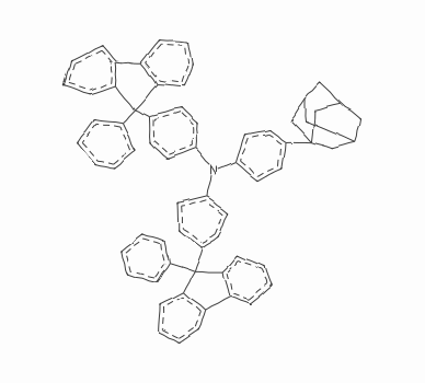 c1ccc(C2(c3ccc(N(c4ccc(C56CC7CC(CC(C7)C5)C6)cc4)c4ccc(C5(c6ccccc6)c6ccccc6-c6ccccc65)cc4)cc3)c3ccccc3-c3ccccc32)cc1